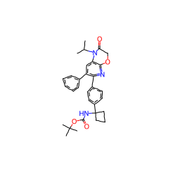 CC(C)N1C(=O)COc2nc(-c3ccc(C4(NC(=O)OC(C)(C)C)CCC4)cc3)c(-c3ccccc3)cc21